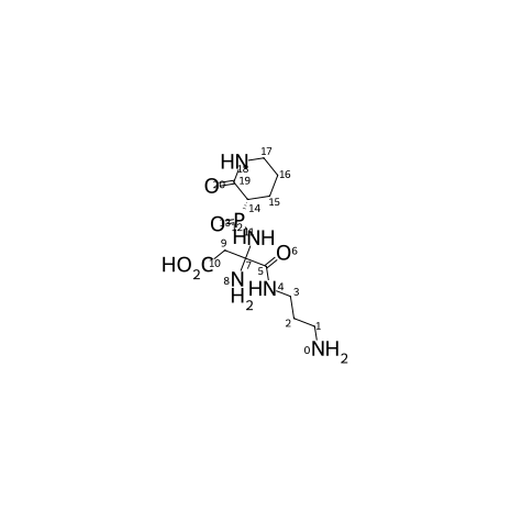 NCCCNC(=O)C(N)(CC(=O)O)N[PH](=O)[C@H]1CCCNC1=O